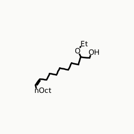 CCCCCCCC/C=C\CCCCCCCC(CO)OCC